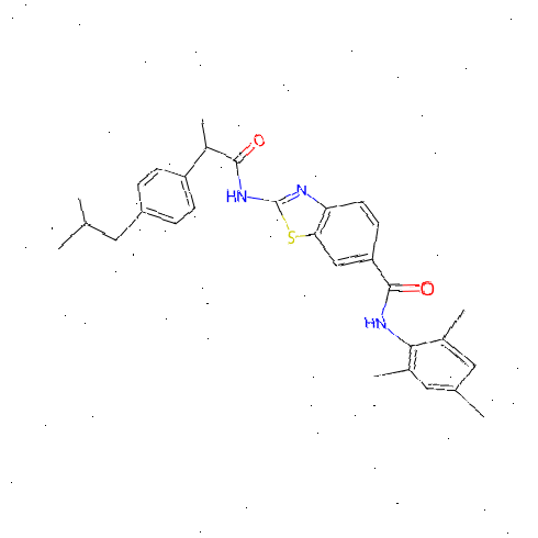 Cc1cc(C)c(NC(=O)c2ccc3nc(NC(=O)C(C)c4ccc(CC(C)C)cc4)sc3c2)c(C)c1